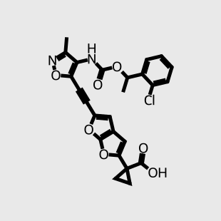 Cc1noc(C#Cc2cc3cc(C4(C(=O)O)CC4)oc3o2)c1NC(=O)OC(C)c1ccccc1Cl